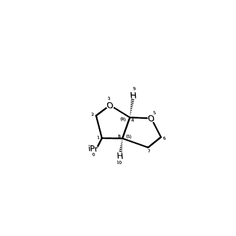 CC(C)C1CO[C@H]2OCC[C@@H]12